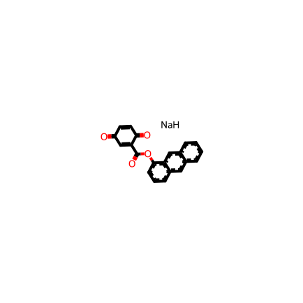 O=C1C=CC(=O)C(C(=O)Oc2cccc3cc4ccccc4cc23)=C1.[NaH]